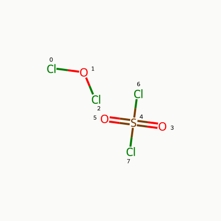 ClOCl.O=S(=O)(Cl)Cl